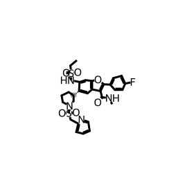 CCS(=O)(=O)Nc1cc2oc(-c3ccc(F)cc3)c(C(=O)NC)c2cc1[C@H]1CCCN(S(=O)(=O)Cc2ccccn2)C1